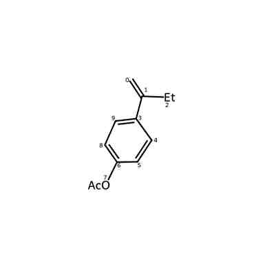 C=C(CC)c1ccc(OC(C)=O)cc1